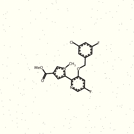 COC(=O)c1cc(-c2ncc(F)cc2OCc2cc(F)cc(Cl)c2)n(C)c1